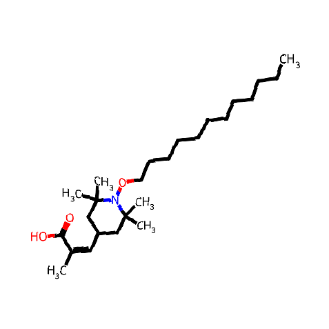 CCCCCCCCCCCCON1C(C)(C)CC(C=C(C)C(=O)O)CC1(C)C